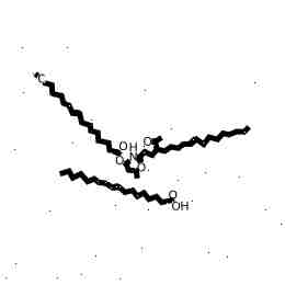 CCCCCCCCC=CCCCCCCCC(=O)O.CCCCCCCCC=CCCCCCCCC(=O)OC(CCC)NC(=O)CCC(CCCCC=CCCCCCCCC)C(C)=O